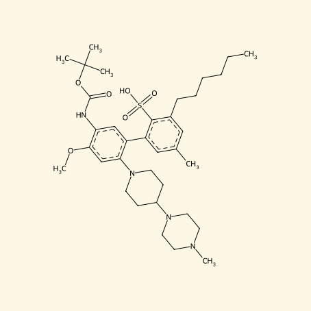 CCCCCCc1cc(C)cc(-c2cc(NC(=O)OC(C)(C)C)c(OC)cc2N2CCC(N3CCN(C)CC3)CC2)c1S(=O)(=O)O